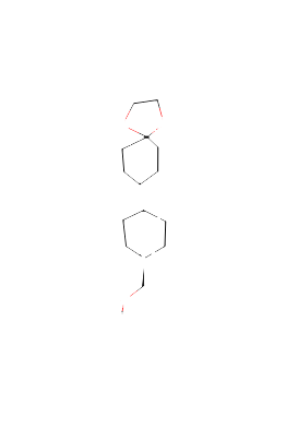 COC[C@H]1CC[C@H](C2CCC3(CC2)OCCO3)CC1